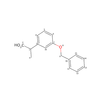 CC(C(=O)O)c1cccc(OCc2ccccc2)c1